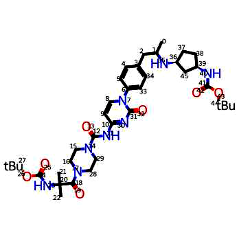 CC(Cc1ccc(-n2ccc(NC(=O)N3CCN(C(=O)C(C)(C)NC(=O)OC(C)(C)C)CC3)nc2=O)cc1)N[C@H]1CC[C@@H](NC(=O)OC(C)(C)C)C1